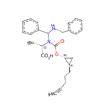 C#CCCC[C@@H]1C[C@H]1OC(=O)N(C(NCc1ccccc1)c1ccccc1)[C@H](C(=O)O)C(C)(C)C